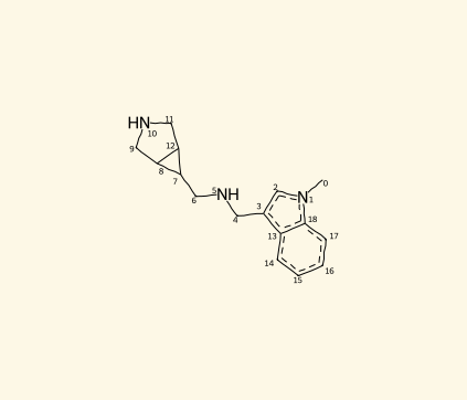 Cn1cc(CNCC2C3CNCC23)c2ccccc21